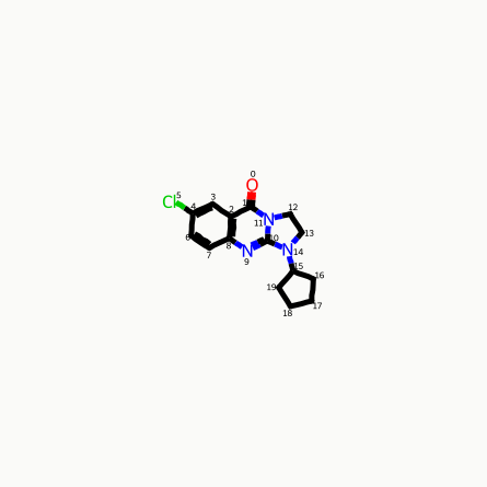 O=c1c2cc(Cl)ccc2nc2n1CCN2C1CCCC1